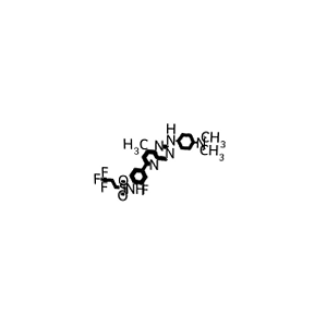 Cc1cc(-c2ccc(NS(=O)(=O)CCC(F)(F)F)c(F)c2)nc2cnc(N[C@H]3CC[C@H](N(C)C)CC3)nc12